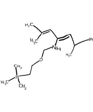 CC(C)=C/C(=C/C(C)C(C)C)NCOCC[Si](C)(C)C